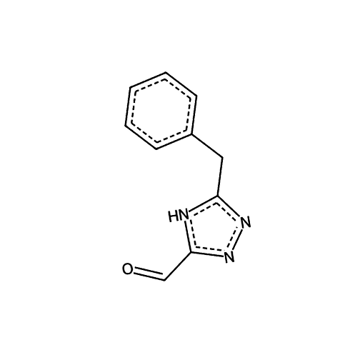 O=Cc1nnc(Cc2ccccc2)[nH]1